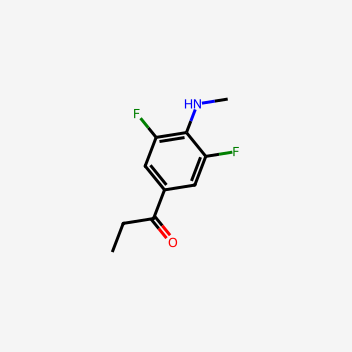 CCC(=O)c1cc(F)c(NC)c(F)c1